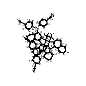 CC(C)(C)C1(C2(C(C)(C)C)c3ccc4ccccc4c3-c3c2cc(N(c2ccc(C#N)cc2)c2ccc(C#N)cc2)c2ccccc32)c2ccc3ccccc3c2-c2c1cc(N(c1ccc(C#N)cc1)c1ccc(C#N)cc1)c1ccccc21